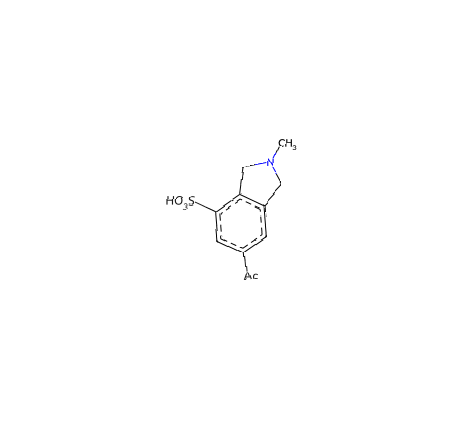 CC(=O)c1cc2c(c(S(=O)(=O)O)c1)CN(C)C2